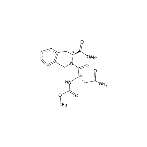 COC(=O)[C@@H]1Cc2ccccc2CN1C(=O)[C@H](CC(N)=O)NC(=O)OC(C)(C)C